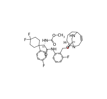 COC(=O)N[C@H](C(=O)Nc1cccc(F)c1CC[C@H]1CNC2C#CCN1[S+]([O-])CCC2)C1(c2ccc(F)cc2)CCC(F)(F)CC1